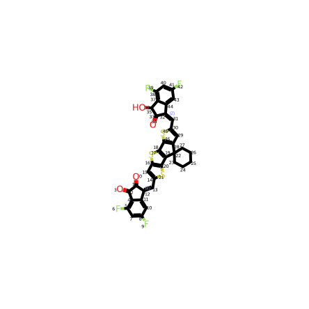 O=C1C(=O)c2c(F)cc(F)cc2/C1=C/c1cc2sc3c(c2s1)C1(CCCCC1)c1cc(/C=C2\C(=O)C(O)c4c(F)cc(F)cc42)sc1-3